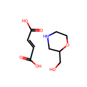 O=C(O)C=CC(=O)O.OCC1CNCCO1